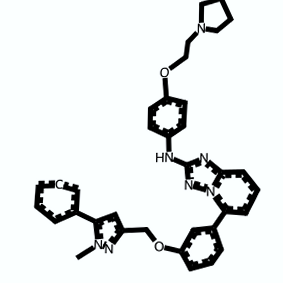 Cn1nc(COc2cccc(-c3cccc4nc(Nc5ccc(OCCN6CCCC6)cc5)nn34)c2)cc1-c1ccccc1